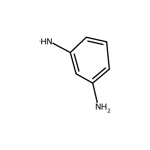 [NH]c1cccc(N)c1